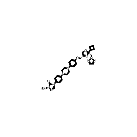 CCC(C)n1ncn(-c2ccc(N3CCN(c4ccc(OC[C@@H]5CO[C@@](Cn6nccn6)(C6CCC6)O5)cc4)CC3)cc2)c1=O